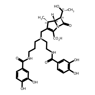 C[C@@H](O)[C@H]1C(=O)N2C(C(=O)O)=C(CN(CCCNC(=O)c3ccc(O)c(O)c3)CCNC(=O)c3ccc(O)c(O)c3)[C@H](C)[C@H]12